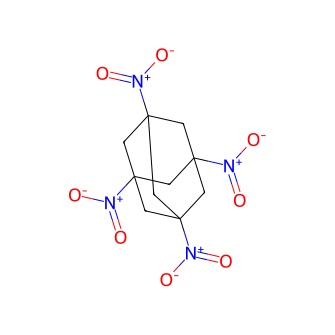 O=[N+]([O-])C12CC3([N+](=O)[O-])CC([N+](=O)[O-])(C1)CC([N+](=O)[O-])(C2)C3